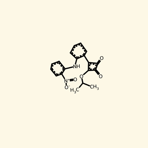 CC(C)Oc1c(-c2ccccc2Nc2ccccc2[N+](=O)[O-])c(=O)c1=O